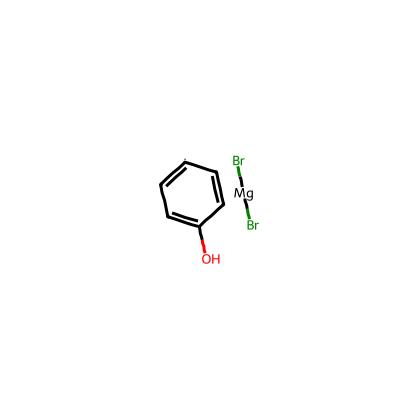 Oc1cc[c]cc1.[Br][Mg][Br]